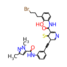 Cc1cc(C(=O)Nc2cccc(C#CC3C=NC=C(C(=O)Nc4cccc(CCCBr)c4O)C3=S)c2)n(C)n1